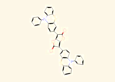 O=C1OC2=C(c3ccc4c(c3)Sc3ccccc3N4c3ccccc3)C(=O)OC2=C1c1ccc2c(c1)Sc1ccccc1N2c1ccccc1